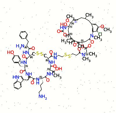 COc1cc2cc(c1Cl)N(C)C(=O)C[C@H](OC(=O)[C@H](C)N(C)C(=O)CCSSCCNC(=O)[C@@H]1CSSC[C@H](NC(=O)[C@H](N)Cc3ccccc3)C(=O)N[C@@H](Cc3ccc(O)cc3)C(=O)N[C@H](Cc3c[nH]c4ccccc34)C(=O)N[C@@H](CCCCN)C(=O)N[C@@H]([C@@H](C)O)C(=O)N1)[C@]1(C)O[C@H]1[C@H](C)[C@@H]1C[C@@](O)(NC(=O)O1)[C@H](OC)/C=C/CC(C)C2